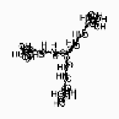 COC(CO)C(O)C(O)C(NC(C)=O)OCCCCC(=O)NCCCNC(=O)CCOCC(C)(COCCC(=O)NCCCNC(=O)CCCCOC1OC(CO)C(O)C(O)C1NC(C)=O)COCCC(=O)NCCCNC(=O)CCCCOC1OC(CO)C(O)C(O)C1NC(C)=O